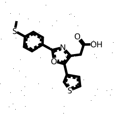 CSc1ccc(-c2nc(CC(=O)O)c(-c3ccsc3)o2)cc1